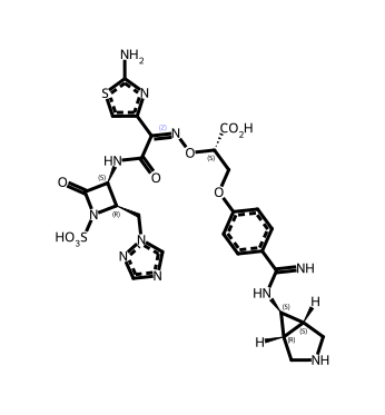 N=C(N[C@H]1[C@@H]2CNC[C@@H]21)c1ccc(OC[C@H](O/N=C(\C(=O)N[C@@H]2C(=O)N(S(=O)(=O)O)[C@@H]2Cn2cncn2)c2csc(N)n2)C(=O)O)cc1